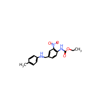 CCOC(=O)Nc1ccc(CNc2ccc(C)cc2)cc1[N+](=O)[O-]